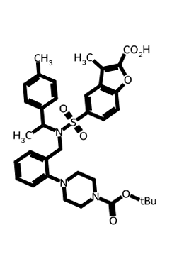 Cc1ccc(C(C)N(Cc2ccccc2N2CCN(C(=O)OC(C)(C)C)CC2)S(=O)(=O)c2ccc3oc(C(=O)O)c(C)c3c2)cc1